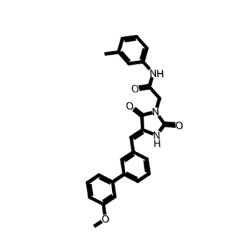 COc1cccc(-c2cccc(/C=C3\NC(=O)N(CC(=O)Nc4cccc(C)c4)C3=O)c2)c1